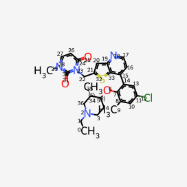 CCN1CC[C@@H](Oc2c(C)cc(Cl)cc2-c2ccnc3cc(Cn4c(=O)ccn(C)c4=O)sc23)[C@@H](C)C1